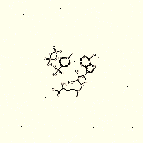 C[S+](CCC(N)C(=O)[O-])C[C@H]1O[C@@H](n2cnc3c(N)ncnc32)[C@H](O)[C@@H]1O.Cc1ccc(S(=O)(=O)O)cc1.O=S(=O)(O)OS(=O)(=O)O